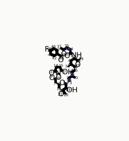 CC(/C=C/[C@H]1O[C@H](CC(=O)ON2C(=O)CCC2O)C[C@@]2(CO2)[C@@H]1O)=C\C[C@@H]1O[C@H](C)[C@H](NC(=O)/C=C\C(C)OC(=O)c2ccc(F)cc2)C[C@@H]1C